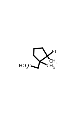 CCC1(C)CCCC1(C)CC(=O)O